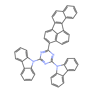 c1ccc2c3c(ccc2c1)-c1ccc(-c2nc(-n4c5ccccc5c5ccccc54)nc(-n4c5ccccc5c5ccccc54)n2)c2cccc-3c12